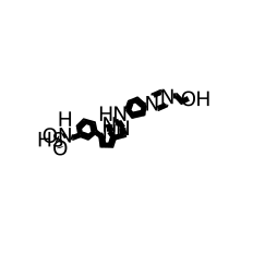 O=[SH](=O)NCc1cccc(-c2ccc3cnc(Nc4ccc(N5CCN(CCO)CC5)cc4)nn23)c1